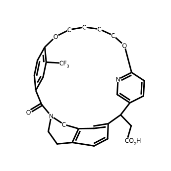 O=C(O)CC1c2ccc(nc2)OCCCCOc2ccc(cc2C(F)(F)F)C(=O)N2CCc3ccc1cc3C2